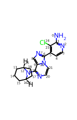 Nc1nccc(-c2ncc3c(N4[C@@H]5CCC[C@H]4CC5)nccn23)c1Cl